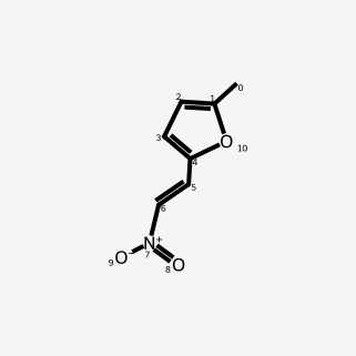 Cc1ccc(C=C[N+](=O)[O-])o1